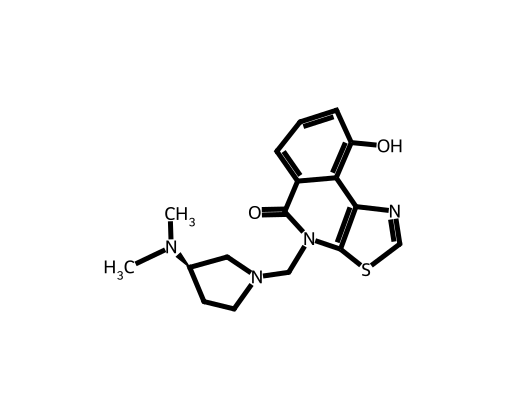 CN(C)[C@@H]1CCN(Cn2c(=O)c3cccc(O)c3c3ncsc32)C1